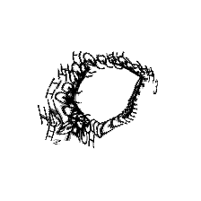 CC1CCCCCCCCCCCCCCC(OC2OC(C)C(O)C(N)C2O)CC(O)C(C(=O)O)C(O)CC(O)CC(O)CC(O)C(O)CCC(O)CC(O)CC(O)OC(C)C(C)C1O